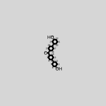 O=C(c1ccc(-c2ccc(O)cc2)cc1)c1ccc(-c2cccc(O)c2)cc1